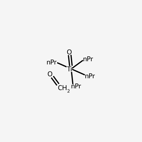 C=O.CC[CH2][Ti](=[O])([CH2]CC)([CH2]CC)[CH2]CC